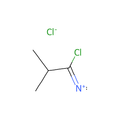 CC(C)C(=[N+])Cl.[Cl-]